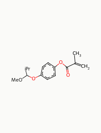 C=C(C)C(=O)Oc1ccc(OC(OC)C(C)C)cc1